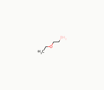 BCCOC[CH2]